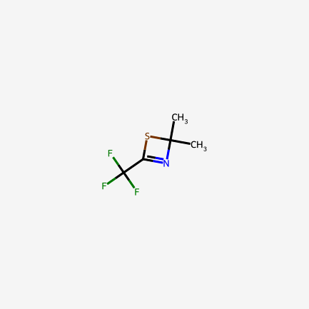 CC1(C)N=C(C(F)(F)F)S1